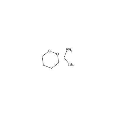 C1CCOOC1.CCCCCN